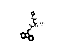 O=C(C[C@H](NC(=O)OCC1c2ccccc2-c2ccccc21)C(=O)O)OC1CCC1